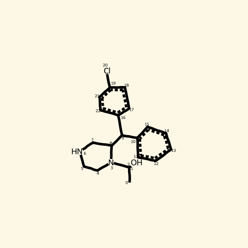 CC(O)N1CCNCC1C(c1ccccc1)c1ccc(Cl)cc1